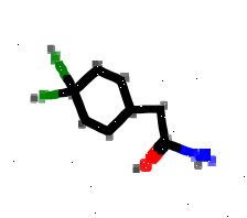 NC(=O)CC1CCC(F)(F)CC1